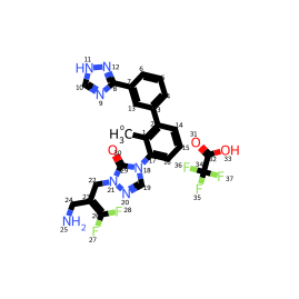 Cc1c(-c2cccc(-c3nc[nH]n3)c2)cccc1-n1cnn(CC(CN)=C(F)F)c1=O.O=C(O)C(F)(F)F